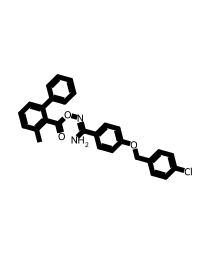 Cc1cccc(-c2ccccc2)c1C(=O)O/N=C(\N)c1ccc(OCc2ccc(Cl)cc2)cc1